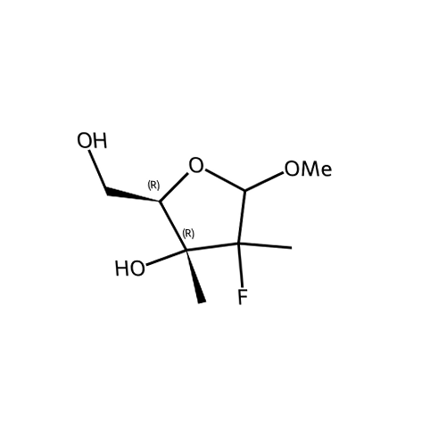 COC1O[C@H](CO)[C@@](C)(O)C1(C)F